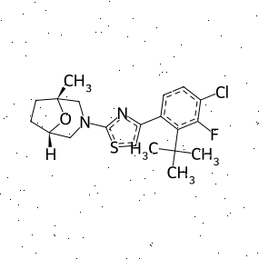 CC(C)(C)c1c(-c2csc(N3C[C@@H]4CC[C@](C)(C3)O4)n2)ccc(Cl)c1F